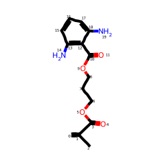 C=C(C)C(=O)OCCCOC(=O)c1c(N)cccc1N